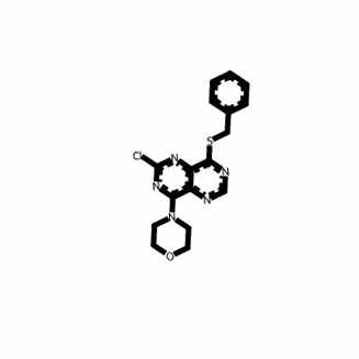 Clc1nc(N2CCOCC2)c2ncnc(SCc3ccccc3)c2n1